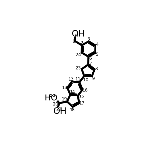 OCc1cccc(C2=CC=C(c3ccc4c(c3)C=CC4C(O)O)C2)c1